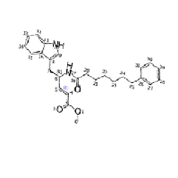 COC(=O)/C=C/[C@@H](Cc1c[nH]c2ccccc12)NC(=O)CCCCCCc1ccccc1